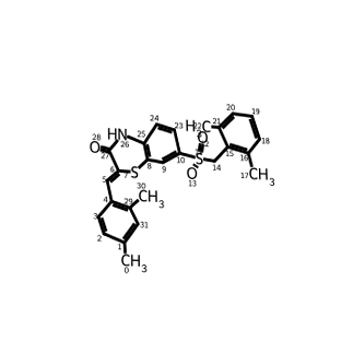 Cc1ccc(C=C2Sc3cc(S(=O)(=O)Cc4c(C)cccc4C)ccc3NC2=O)c(C)c1